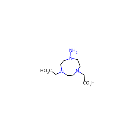 NN1CCN(CC(=O)O)CCN(CC(=O)O)CC1